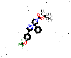 CC(C)(C)OC(=O)N1CCC(c2ccccc2)(n2cc(-c3ccc(OC(F)(F)F)cc3)cn2)C1